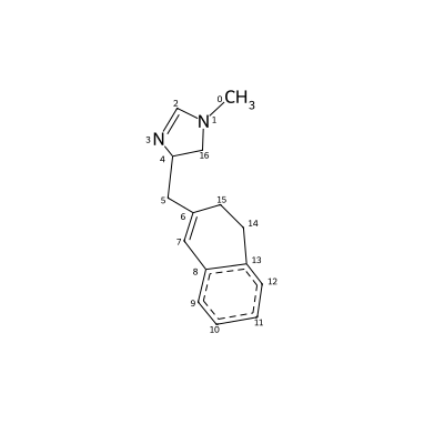 CN1C=NC(CC2=Cc3ccccc3CC2)C1